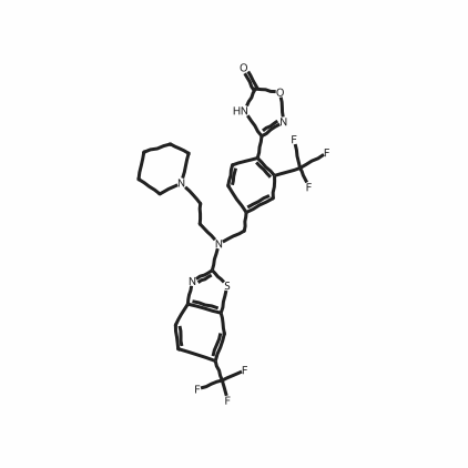 O=c1[nH]c(-c2ccc(CN(CCN3CCCCC3)c3nc4ccc(C(F)(F)F)cc4s3)cc2C(F)(F)F)no1